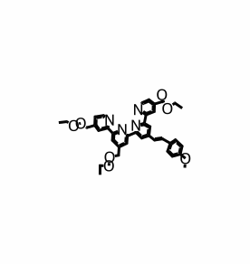 CCOOCc1ccnc(-c2cc(COOCC)cc(-c3cc(/C=C/c4ccc(OC)cc4)cc(-c4cc(C(=O)OCC)ccn4)n3)n2)c1